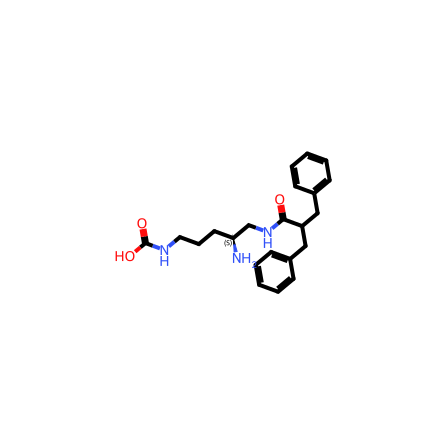 N[C@@H](CCCNC(=O)O)CNC(=O)C(Cc1ccccc1)Cc1ccccc1